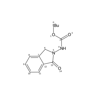 CC(C)(C)OC(=O)NN1Cc2ccccc2C1=O